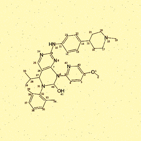 COc1ccc(N2c3nc(Nc4ccc(C5CCN(C)CC5)cc4)ncc3C(C(C)C)N(c3c(C)cccc3C)C2O)nc1